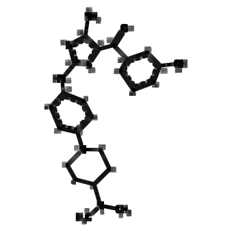 CN(C)C1CCN(c2ccc(Nc3nc(N)c(C(=O)c4cccc(O)c4)s3)cc2)CC1